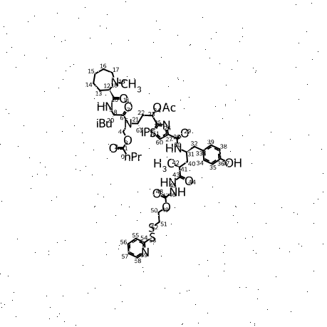 CCCC(=O)OCN(C(=O)[C@@H](NC(=O)[C@H]1CCCCCN1C)C(C)CC)[C@H](C[C@@H](OC(C)=O)c1nc(C(=O)N[C@@H](Cc2ccc(O)cc2)C[C@H](C)C(=O)NNC(=O)OCCSSc2ccccn2)cs1)C(C)C